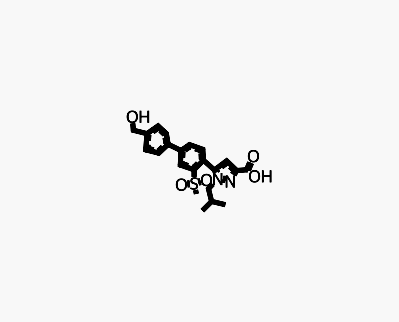 CC(C)Cn1nc(C(=O)O)cc1-c1ccc(-c2ccc(CO)cc2)cc1S(C)(=O)=O